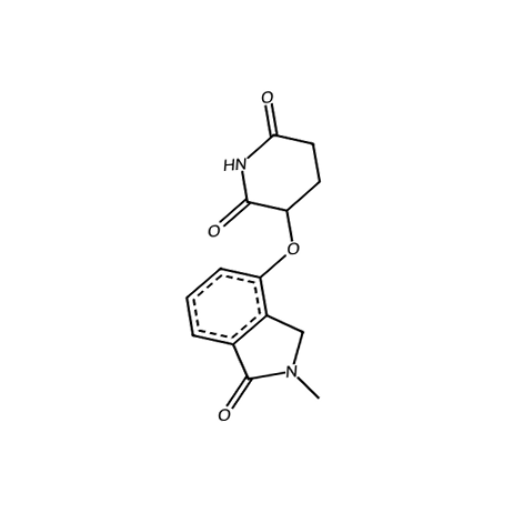 CN1Cc2c(OC3CCC(=O)NC3=O)cccc2C1=O